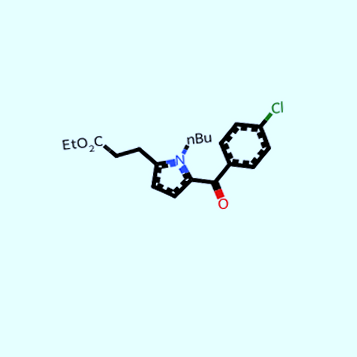 CCCCn1c(CCC(=O)OCC)ccc1C(=O)c1ccc(Cl)cc1